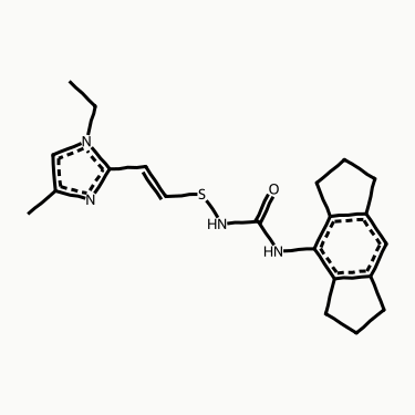 CCn1cc(C)nc1/C=C/SNC(=O)Nc1c2c(cc3c1CCC3)CCC2